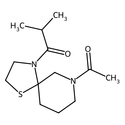 CC(=O)N1CCCC2(C1)SCCN2C(=O)C(C)C